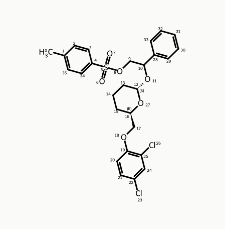 Cc1ccc(S(=O)(=O)OCC(O[C@H]2CCC[C@H](COc3ccc(Cl)cc3Cl)O2)c2ccccc2)cc1